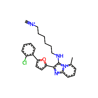 C#[N+]CCCCCCNc1c(-c2ccc(-c3ccccc3Cl)o2)nc2cccc(C)n12